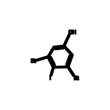 CCc1cc(O)cc(CC)c1I